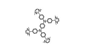 CN1C=CN(C)C1c1ccc(N(c2ccc(C3N(C)C=CN3C)cc2)c2ccc(N(c3ccc(C4N(C)C=CN4C)cc3)c3ccc(C4N(C)C=CN4C)cc3)cc2)cc1